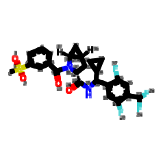 CS(=O)(=O)c1cccc(C(=O)N2[C@@H](C(=O)NC(c3cc(F)c(C(F)F)cc3F)C3CC3)C[C@H]3C[C@H]32)c1